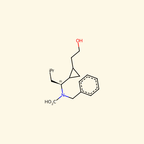 CC(C)C[C@@H](C1CC1CCO)N(Cc1ccccc1)C(=O)O